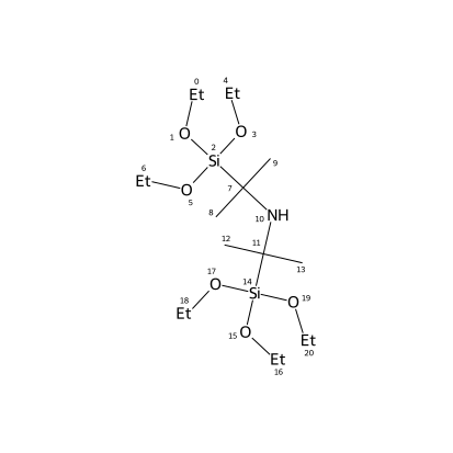 CCO[Si](OCC)(OCC)C(C)(C)NC(C)(C)[Si](OCC)(OCC)OCC